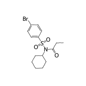 CCC(=O)N(C1CCCCC1)S(=O)(=O)c1ccc(Br)cc1